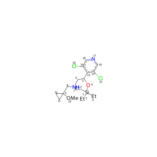 CC[Si](CC)(CC)OC(CNCC1(OC)CC1)c1c(Cl)cncc1Cl